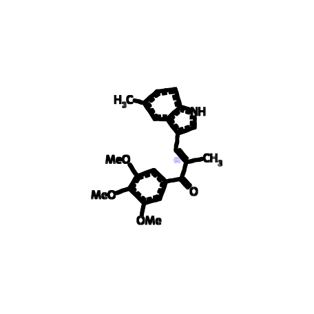 COc1cc(C(=O)/C(C)=C/c2c[nH]c3ccc(C)cc23)cc(OC)c1OC